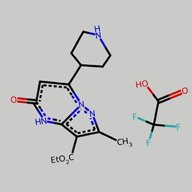 CCOC(=O)c1c(C)nn2c(C3CCNCC3)cc(=O)[nH]c12.O=C(O)C(F)(F)F